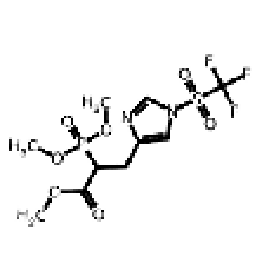 COC(=O)C(Cc1cn(S(=O)(=O)C(F)(F)F)cn1)P(=O)(OC)OC